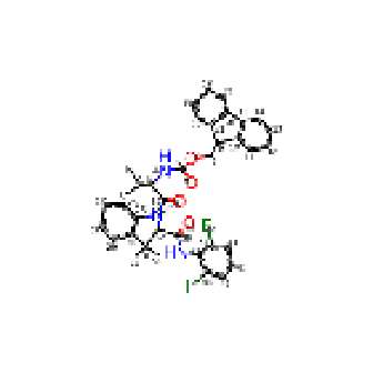 CC(C)C(NC(=O)OCC1c2ccccc2-c2ccccc21)C(=O)N1c2ccccc2C(C)(C)C1C(=O)Nc1c(F)cccc1F